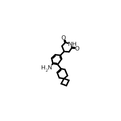 Nc1ccc(C2CC(=O)NC(=O)C2)cc1C1=CCC2(CCC2)CC1